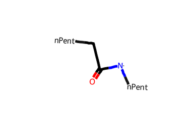 CCCCCCC(=O)[N]CCCCC